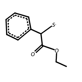 CCOC(=O)C([S])c1ccccc1